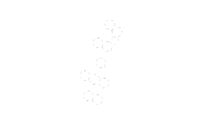 c1ccc2c(-c3c4ccccc4c(-c4ccc(-c5cc6sc7ccc8ccccc8c7c6c6ccccc56)cc4)c4ccccc34)cccc2c1